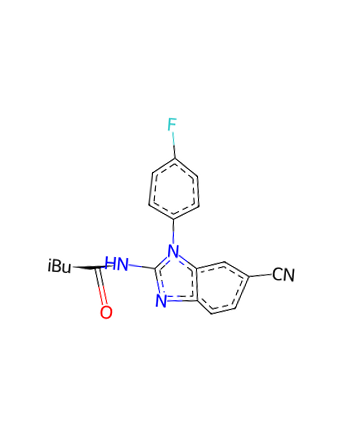 CC[C@H](C)C(=O)Nc1nc2ccc(C#N)cc2n1-c1ccc(F)cc1